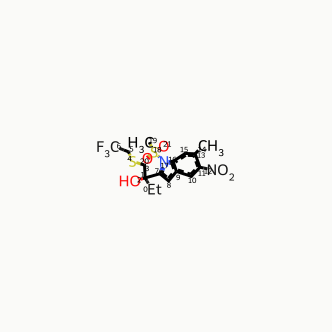 CCC(O)(CSCC(F)(F)F)c1cc2cc([N+](=O)[O-])c(C)cc2n1S(C)(=O)=O